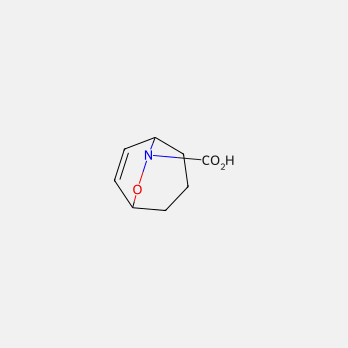 O=C(O)N1OC2C=CC1CCC2